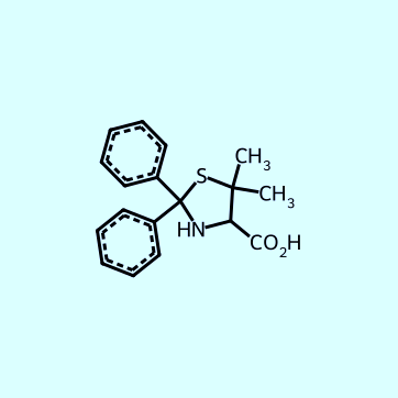 CC1(C)SC(c2ccccc2)(c2ccccc2)NC1C(=O)O